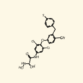 O=C(Nc1cc(Cl)c(Oc2ccc(O)c(Cc3ccc(F)cc3)c2)c(Cl)c1)C(O)NO